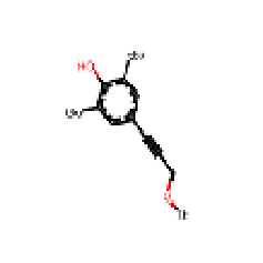 CCOCC#Cc1cc(C(C)(C)C)c(O)c(C(C)(C)C)c1